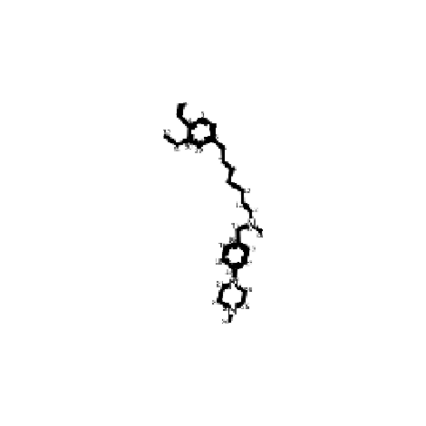 C=Cc1ccc(CCCCCCCN(C)Cc2ccc(N3CCN(C)CC3)cc2)cc1CC